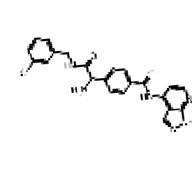 NC(C(=O)NCc1cccc(Cl)c1)c1ccc(C(=O)Nc2ccnc3[nH]ncc23)cc1